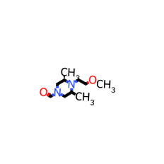 COCCN1C(C)CN(C=O)C[C@@H]1C